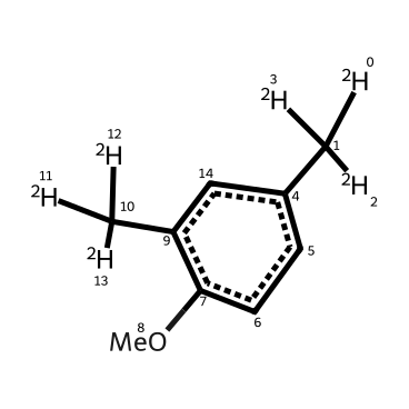 [2H]C([2H])([2H])c1ccc(OC)c(C([2H])([2H])[2H])c1